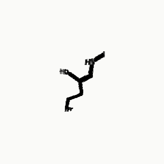 CCCCCC(O)CNI